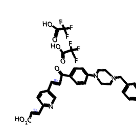 O=C(O)/C=C/c1ccc(/C=C/C(=O)c2ccc(N3CCN(Cc4ccccc4)CC3)cc2)cn1.O=C(O)C(F)(F)F.O=C(O)C(F)(F)F